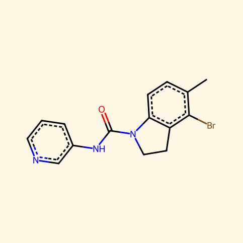 Cc1ccc2c(c1Br)CCN2C(=O)Nc1cccnc1